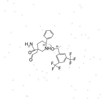 C[C@@H](OC[C@@]1(c2ccccc2)CCC(CC=O)(C(N)=O)CN1)c1cc(C(F)(F)F)cc(C(F)(F)F)c1